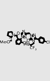 COC[C@@H]1CCCN1C(=O)c1cccc(C(F)(F)F)c1-n1cnc(Cn2nc(-c3ccc(Cl)cc3)n(CC(O)C(F)(F)F)c2=O)n1